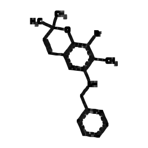 Cc1c(NCc2ccccc2)cc2c(c1Br)OC(C)(C)C=C2